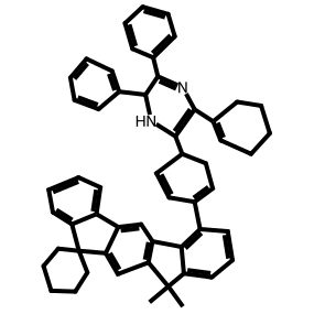 CC1(C)c2cc3c(cc2-c2c(C4=CCC(C5=C(C6=CCCCC6)N=C(c6ccccc6)C(c6ccccc6)N5)C=C4)cccc21)-c1ccccc1C31CCCCC1